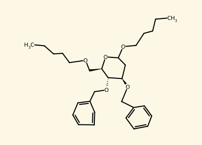 CCCCCOC[C@H]1OC(OCCCCC)C[C@@H](OCc2ccccc2)[C@@H]1OCc1ccccc1